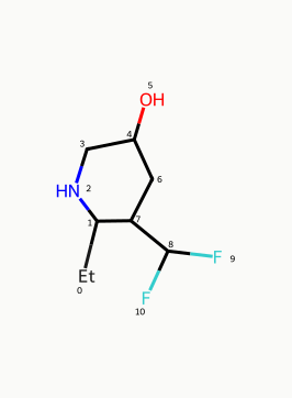 CCC1NCC(O)CC1C(F)F